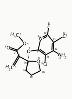 C=C(C(=O)OC)[C@]1(Oc2nc(F)c(Cl)c(N)c2Cl)CCCO1